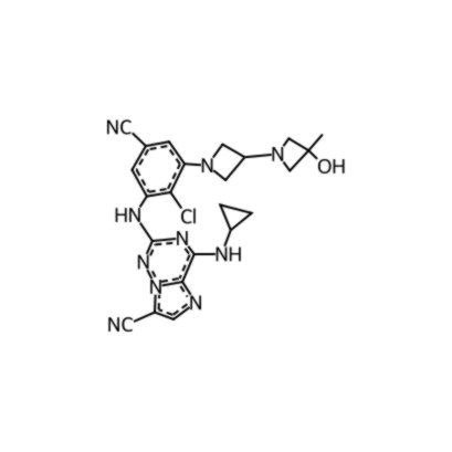 CC1(O)CN(C2CN(c3cc(C#N)cc(Nc4nc(NC5CC5)c5ncc(C#N)n5n4)c3Cl)C2)C1